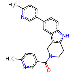 Cc1ccc(C(=O)N2CCc3[nH]c4ccc(-c5ccc(C)nc5)cc4c3C2)cn1